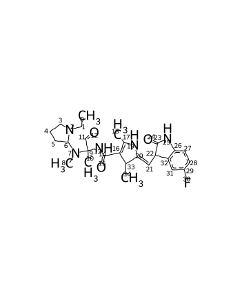 CCN1CCCC1N(C)C(C)(C=O)NC(=O)C1=C(C)NC(=CC2C(=O)Nc3ccc(F)cc32)C1C